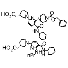 CCCNc1nc(N2CCC[C@@H](CC(=O)O)C2)ccc1C(=O)NC1CCCCC1.O=C(O)C[C@@H]1CCCN(c2ccc(C(=O)NC3CCCCC3)c(N3CCN(C(=O)OCc4ccccc4)CC3)n2)C1